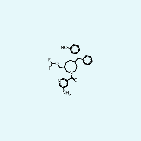 N#Cc1cccc([C@H](c2ccccc2)C2CC[C@H](COC(F)F)CN(C(=O)c3cncc(N)c3)CC2)c1